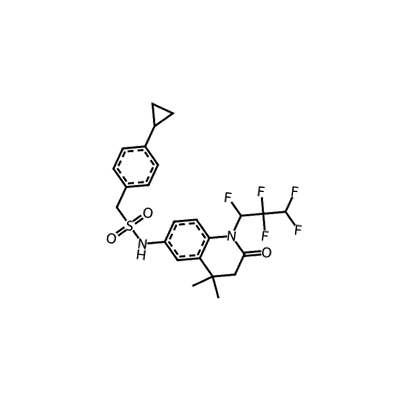 CC1(C)CC(=O)N(C(F)C(F)(F)C(F)F)c2ccc(NS(=O)(=O)Cc3ccc(C4CC4)cc3)cc21